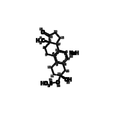 C[C@]12CCc3c(ccc4c3CC[C@@](O)(OS(=O)(=O)O)C4)C1CCC2=O.[NaH]